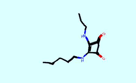 CCCCCNc1c(NCCC)c(=O)c1=O